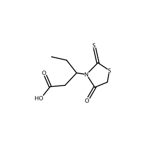 CCC(CC(=O)O)N1C(=O)CSC1=S